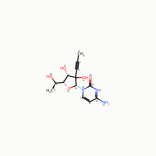 CC#CC1(O)[C@@H](O)[C@@H]([C@@H](C)O)O[C@H]1n1ccc(N)nc1=O